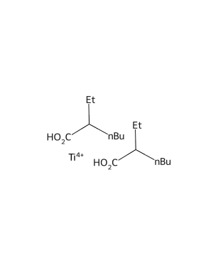 CCCCC(CC)C(=O)O.CCCCC(CC)C(=O)O.[Ti+4]